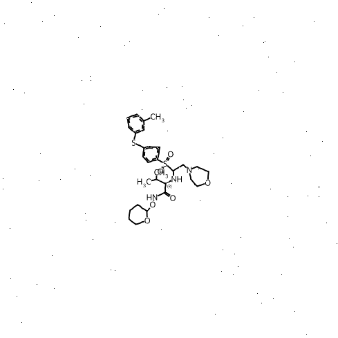 Cc1cccc(Sc2ccc(S(=O)(=O)C(CN3CCOCC3)N[C@@H](C(=O)NOC3CCCCO3)C(C)C)cc2)c1